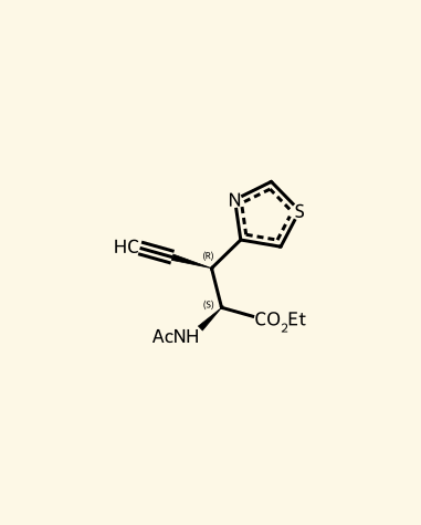 C#C[C@@H](c1cscn1)[C@H](NC(C)=O)C(=O)OCC